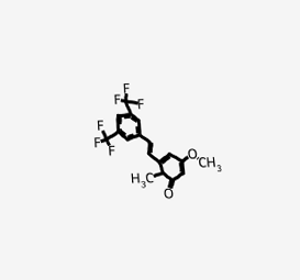 COC1=CC(=O)C(C)C(/C=C/c2cc(C(F)(F)F)cc(C(F)(F)F)c2)=C1